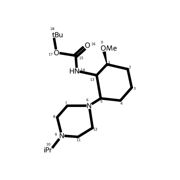 CO[C@H]1CCCC(N2CCN(C(C)C)CC2)C1NC(=O)OC(C)(C)C